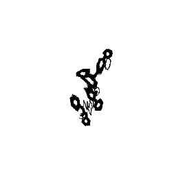 c1ccc(-c2nc(-n3c4ccccc4c4c5oc6cc(-c7ccc8c(c7)oc7ccccc78)c7ccccc7c6c5ccc43)nc3c2sc2ccccc23)cc1